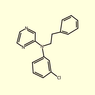 Clc1cccc(N(CCc2ccccc2)c2cnccn2)c1